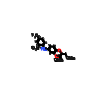 COCC(Oc1ccc(Nc2ccc(C(F)(F)F)cc2[N+](=O)[O-])cc1)C(=O)OC